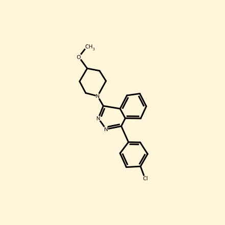 COC1CCN(c2nnc(-c3ccc(Cl)cc3)c3ccccc23)CC1